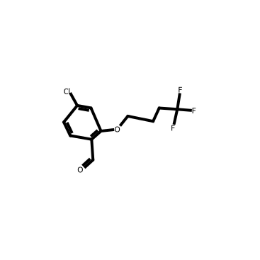 O=Cc1ccc(Cl)cc1OCCCC(F)(F)F